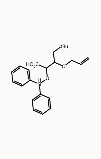 C=CCOC(CC(C)(C)C)C(O[SiH](c1ccccc1)c1ccccc1)C(=O)O